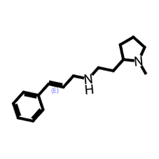 CN1CCCC1CCNC/C=C/c1ccccc1